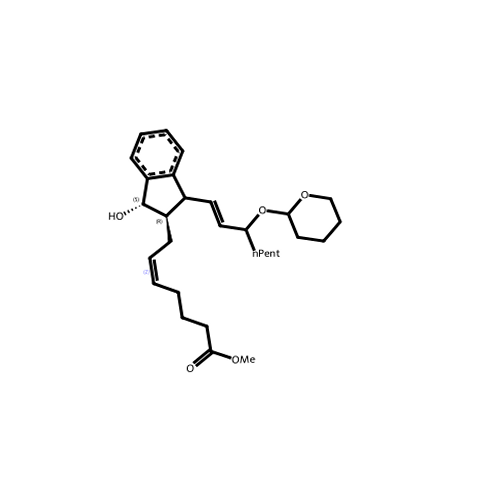 CCCCCC(C=CC1c2ccccc2[C@@H](O)[C@@H]1C/C=C\CCCC(=O)OC)OC1CCCCO1